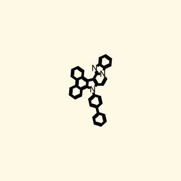 c1ccc(-c2ccc(-n3c4ccn5c6ccccc6nc5c4c4c5ccccc5c5ccccc5c43)cc2)cc1